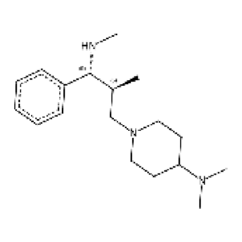 CN[C@@H](c1ccccc1)[C@@H](C)CN1CCC(N(C)C)CC1